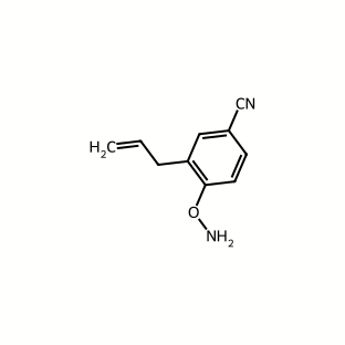 C=CCc1cc(C#N)ccc1ON